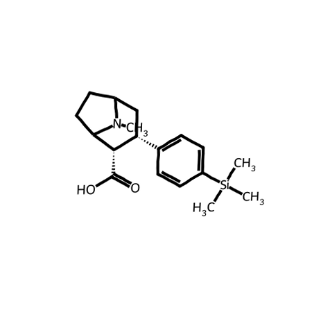 CN1C2CCC1[C@@H](C(=O)O)[C@@H](c1ccc([Si](C)(C)C)cc1)C2